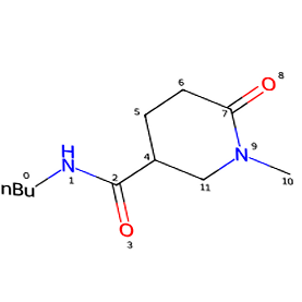 CCCCNC(=O)C1CCC(=O)N(C)C1